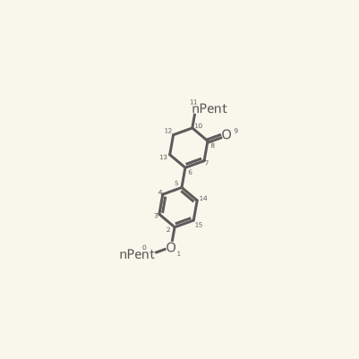 CCCCCOc1ccc(C2=CC(=O)C(CCCCC)CC2)cc1